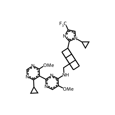 COc1cnc(-c2c(OC)ncnc2C2CC2)nc1NCC12C3C4C1C1C2C3C41c1nc(C(F)(F)F)cn1C1CC1